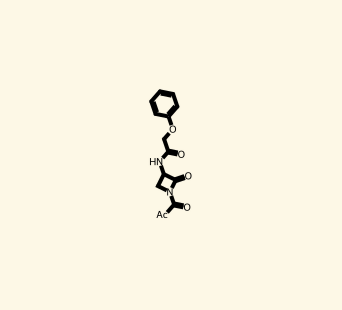 CC(=O)C(=O)N1CC(NC(=O)COc2ccccc2)C1=O